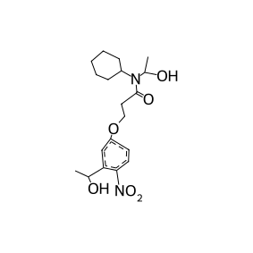 CC(O)c1cc(OCCC(=O)N(C(C)O)C2CCCCC2)ccc1[N+](=O)[O-]